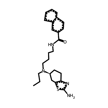 CCCN(CCCCNC(=O)c1ccc2ccccc2c1)[C@H]1CCc2nc(N)sc2C1